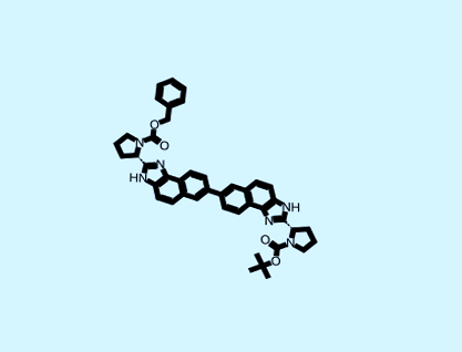 CC(C)(C)OC(=O)N1CCC[C@H]1c1nc2c(ccc3cc(-c4ccc5c(ccc6[nH]c([C@@H]7CCCN7C(=O)OCc7ccccc7)nc65)c4)ccc32)[nH]1